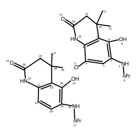 CCCNc1cc(Cl)c2c(c1O)C(C)(C)CC(=O)N2.CCCNc1ccc2c(c1O)C(C)(C)CC(=O)N2